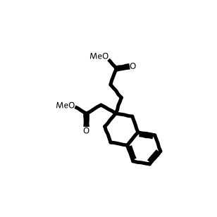 COC(=O)CCC1(CC(=O)OC)CCc2ccccc2C1